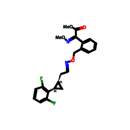 CON=C(C(=O)OC)c1ccccc1CON=CC[C@@H]1C[C@H]1c1c(F)cccc1F